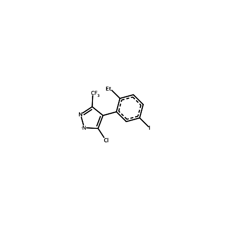 CCc1ccc(I)cc1C1=C(Cl)[N]N=C1C(F)(F)F